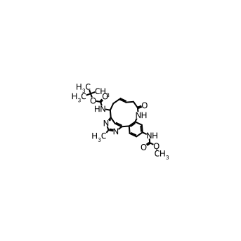 COC(=O)Nc1ccc2c(c1)NC(=O)C/C=C/CC(NC(=O)OC(C)(C)C)c1cc-2nc(C)n1